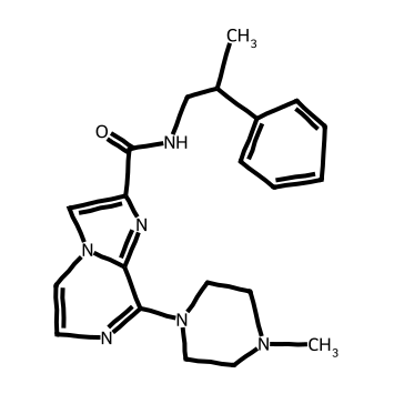 CC(CNC(=O)c1cn2ccnc(N3CCN(C)CC3)c2n1)c1ccccc1